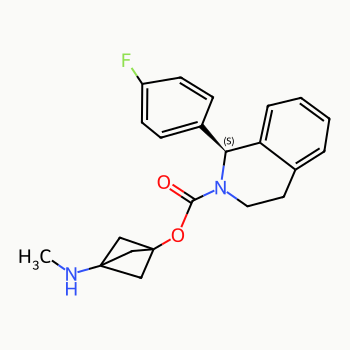 CNC12CC(OC(=O)N3CCc4ccccc4[C@@H]3c3ccc(F)cc3)(C1)C2